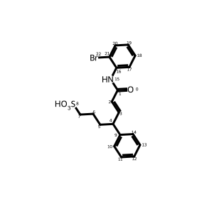 O=C(C=CC(CCCS(=O)(=O)O)c1ccccc1)Nc1ccccc1Br